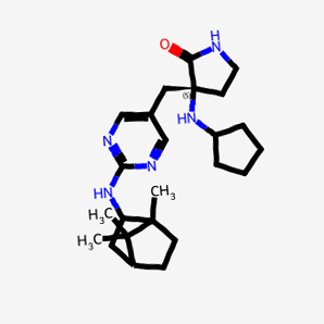 CC1(C)C2CCC1(C)C(Nc1ncc(C[C@]3(NC4CCCC4)CCNC3=O)cn1)C2